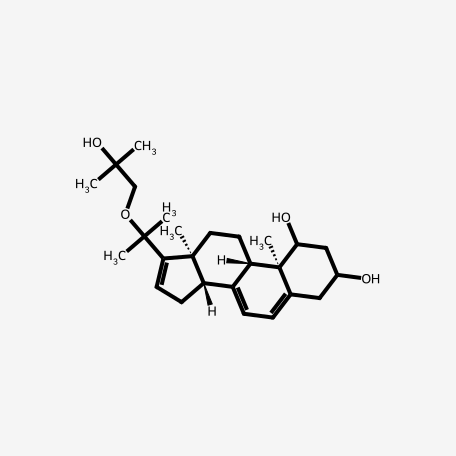 CC(C)(O)COC(C)(C)C1=CC[C@H]2C3=CC=C4CC(O)CC(O)[C@]4(C)[C@H]3CC[C@]12C